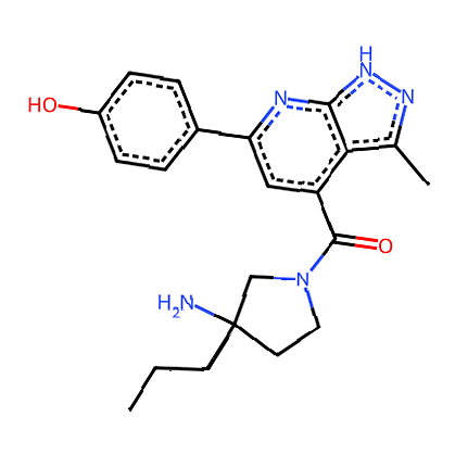 CCCC1(N)CCN(C(=O)c2cc(-c3ccc(O)cc3)nc3[nH]nc(C)c23)C1